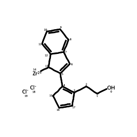 OCCC1=C(C2=Cc3ccccc3[CH]2[Zr+2])CC=C1.[Cl-].[Cl-]